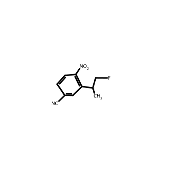 C[C](CF)c1cc(C#N)ccc1[N+](=O)[O-]